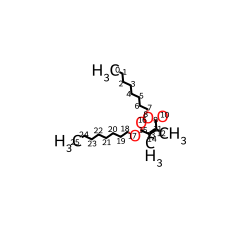 CCCCCCCCOC(=O)C(C)=C(C)C(=O)OCCCCCCCC